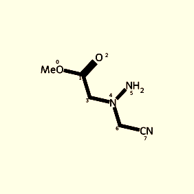 COC(=O)CN(N)CC#N